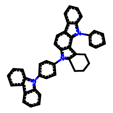 c1ccc(-n2c3ccccc3c3ccc4c(c5c(n4-c4ccc(-n6c7ccccc7c7ccccc76)cc4)CCCC5)c32)cc1